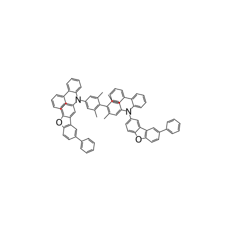 Cc1cc(N(c2ccc3oc4ccc(-c5ccccc5)cc4c3c2)c2ccccc2-c2ccccc2)cc(C)c1-c1c(C)cc(N(c2ccc3oc4ccc(-c5ccccc5)cc4c3c2)c2ccccc2-c2ccccc2)cc1C